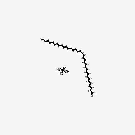 CCCCCCCCCCCCCCCCC[CH2][Zn][CH2]CCCCCCCCCCCCCCCCC.OP(O)(=S)S